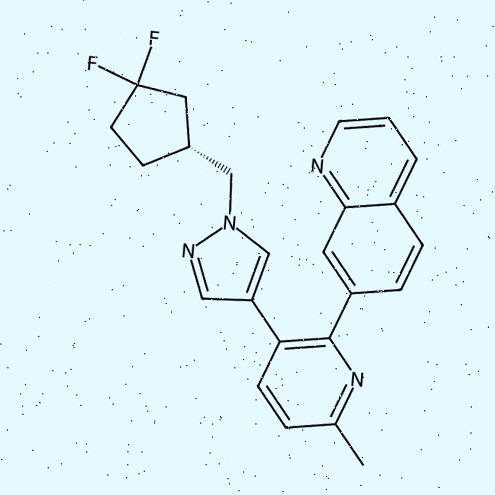 Cc1ccc(-c2cnn(C[C@@H]3CCC(F)(F)C3)c2)c(-c2ccc3cccnc3c2)n1